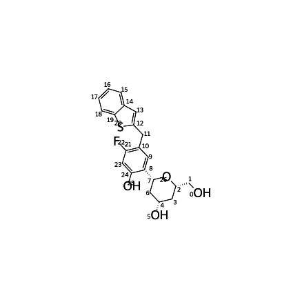 OC[C@@H]1C[C@H](O)C[C@H](c2cc(Cc3cc4ccccc4s3)c(F)cc2O)O1